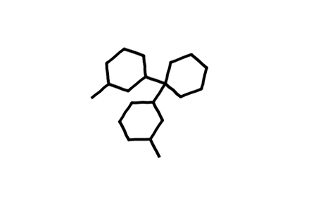 CC1CCCC(C2(C3CCCC(C)C3)CCCCC2)C1